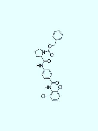 O=C(Nc1c(Cl)cccc1Cl)c1ccc(NC(=O)C2CCCN2C(=O)OCc2ccccc2)cc1